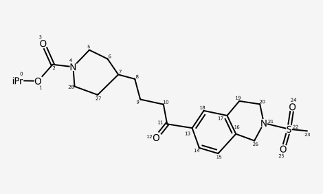 CC(C)OC(=O)N1CCC(CCCC(=O)c2ccc3c(c2)CCN(S(C)(=O)=O)C3)CC1